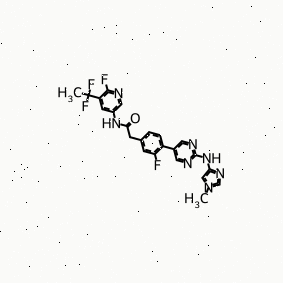 Cn1cnc(Nc2ncc(-c3ccc(CC(=O)Nc4cnc(F)c(C(C)(F)F)c4)cc3F)cn2)c1